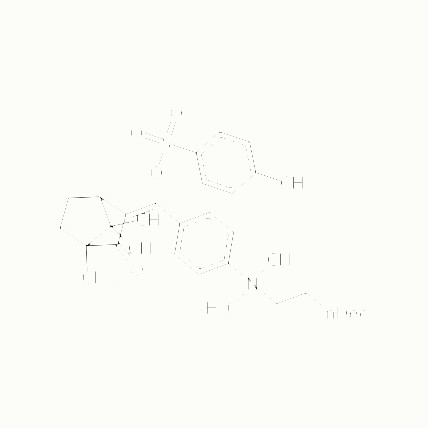 CCCCCCCCCCCC[N+](C)(C)c1ccc(C=C2C(=O)C3(C)CCC2C3(C)C)cc1.Cc1ccc(S(=O)(=O)[O-])cc1